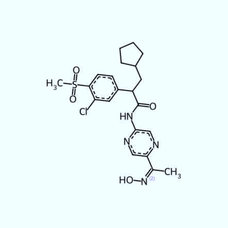 C/C(=N/O)c1cnc(NC(=O)C(CC2CCCC2)c2ccc(S(C)(=O)=O)c(Cl)c2)cn1